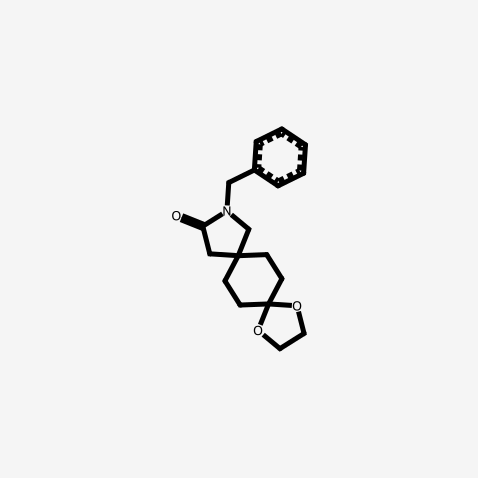 O=C1CC2(CCC3(CC2)OCCO3)CN1Cc1ccccc1